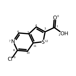 O=C(O)c1cc2cnc(Cl)cc2s1